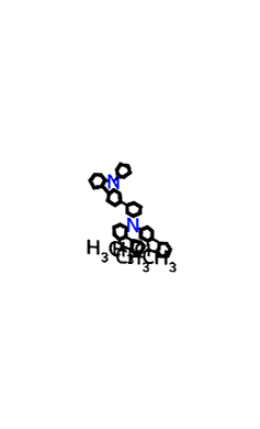 CC1(C)c2ccccc2-c2ccc(N(c3cccc(-c4ccc5c6ccccc6n(-c6ccccc6)c5c4)c3)c3cccc4c3-c3ccccc3C4(C)C)cc21